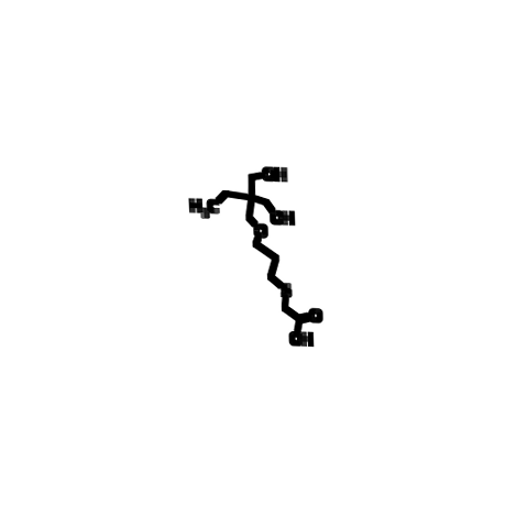 CCC(CO)(CO)COCCCSCC(=O)O